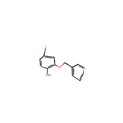 Cc1ccc(I)cc1OCc1ccccc1